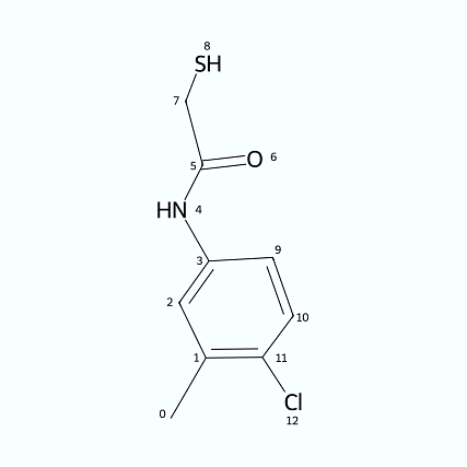 Cc1cc(NC(=O)CS)ccc1Cl